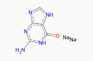 Nc1nc2nc[nH]c2c(=O)[nH]1.[Na].[Na]